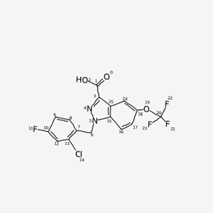 O=C(O)c1nn(Cc2ccc(F)cc2Cl)c2ccc(OC(F)(F)F)cc12